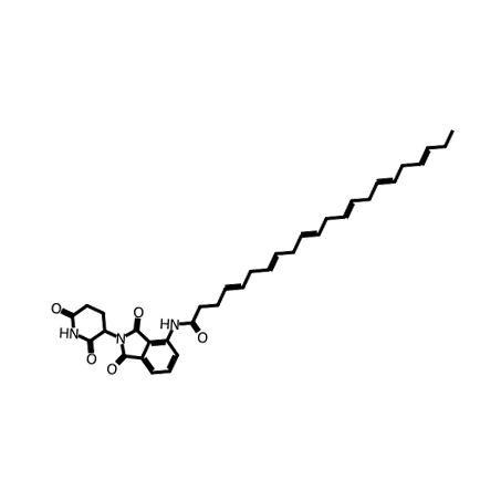 CCC=CCC=CCC=CCC=CCC=CCC=CCCC(=O)Nc1cccc2c1C(=O)N(C1CCC(=O)NC1=O)C2=O